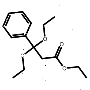 CCOC(=O)CC(OCC)(OCC)c1ccccc1